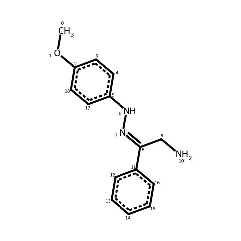 COc1ccc(NN=C(CN)c2ccccc2)cc1